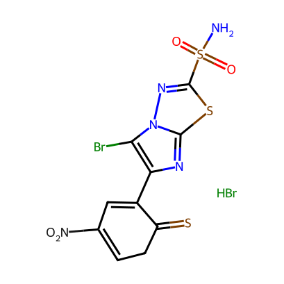 Br.NS(=O)(=O)c1nn2c(Br)c(C3=CC([N+](=O)[O-])=CCC3=S)nc2s1